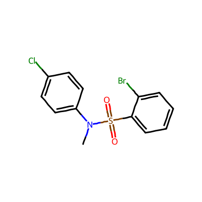 CN(c1ccc(Cl)cc1)S(=O)(=O)c1ccccc1Br